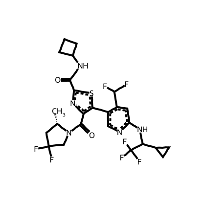 C[C@H]1CC(F)(F)CN1C(=O)c1nc(C(=O)NC2CCC2)sc1-c1cnc(NC(C2CC2)C(F)(F)F)cc1C(F)F